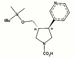 CC(C)(C)[Si](C)(C)OC[C@H]1CN(C(=O)O)C[C@@H]1c1cccnc1